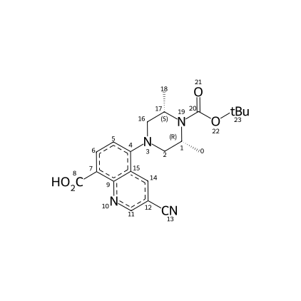 C[C@@H]1CN(c2ccc(C(=O)O)c3ncc(C#N)cc23)C[C@H](C)N1C(=O)OC(C)(C)C